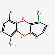 Cc1ccc(Br)c2c1Sc1cccc(Br)c1O2